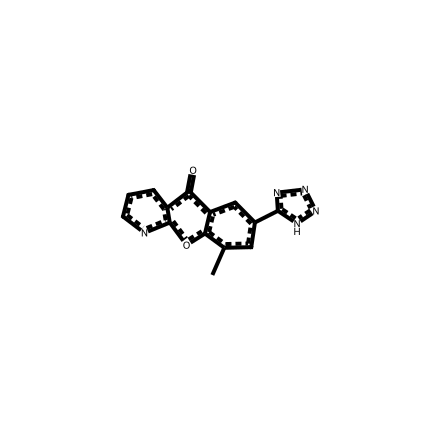 Cc1cc(-c2nnn[nH]2)cc2c(=O)c3cccnc3oc12